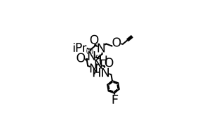 C#CCOCCN1C[C@H]2N(C(=O)CN(C)N2C(=O)NCc2ccc(F)cc2)[C@@H](C(C)C)C1=O